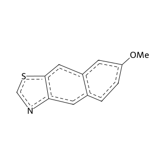 COc1ccc2cc3ncsc3cc2c1